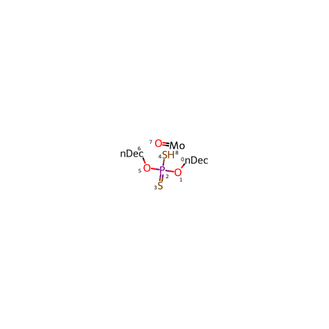 CCCCCCCCCCOP(=S)(S)OCCCCCCCCCC.[O]=[Mo]